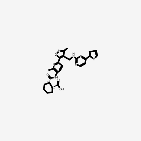 Cc1nc(-c2onc(C)c2CNc2nccc(-c3ccco3)n2)ccc1NC(=O)[C@H]1CCCC[C@@H]1C(=O)O